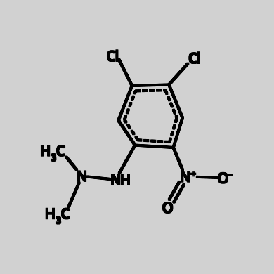 CN(C)Nc1cc(Cl)c(Cl)cc1[N+](=O)[O-]